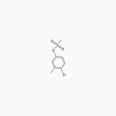 Cc1cc(OS(C)(=O)=O)ccc1Cl